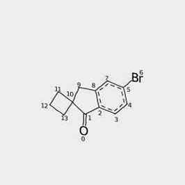 O=C1c2ccc(Br)cc2CC12CCC2